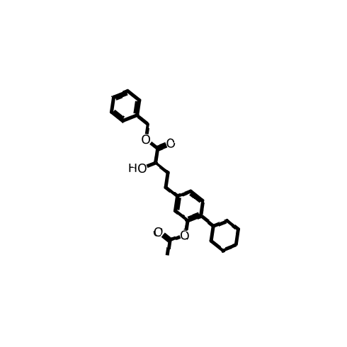 CC(=O)Oc1cc(CCC(O)C(=O)OCc2ccccc2)ccc1C1CCCCC1